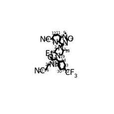 CC[C@@H]1CN(c2nc(=O)n(C)c3ccc(C#N)nc23)[C@@H](C)CN1C(C(=O)NCCC#N)c1ccc(C(F)(F)F)cc1